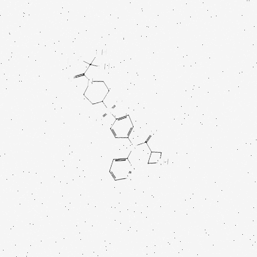 CC(C)(C)C(=O)N1CCC(S(=O)(=O)c2ccc(N(C(=O)C3CNC3)c3cccnn3)cc2)CC1